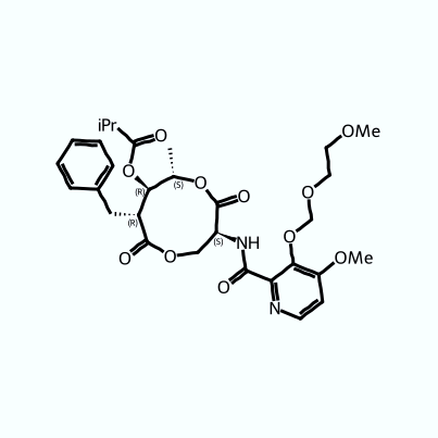 COCCOCOc1c(OC)ccnc1C(=O)N[C@H]1COC(=O)[C@H](Cc2ccccc2)[C@@H](OC(=O)C(C)C)[C@H](C)OC1=O